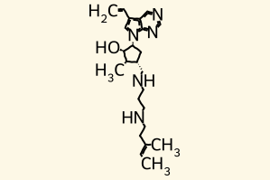 C=Cc1cn([C@@H]2C[C@H](CNCCCNCC/C(C)=C/C)[C@@H](C)[C@H]2O)c2ncncc12